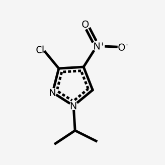 CC(C)n1cc([N+](=O)[O-])c(Cl)n1